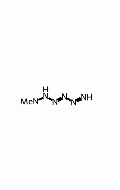 CNNN=NN=N